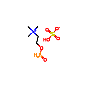 C[N+](C)(C)CCO[PH2]=O.O=S(=O)([O-])O